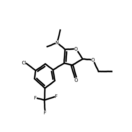 CCOC1OC(N(C)C)=C(c2cc(Cl)cc(C(F)(F)F)c2)C1=O